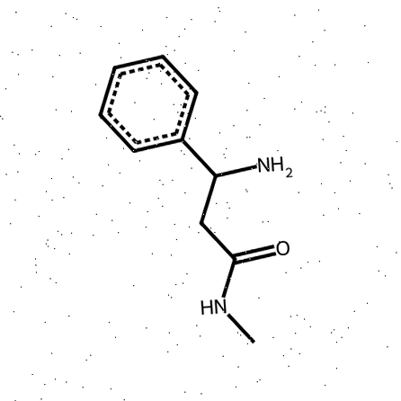 CNC(=O)CC(N)c1ccccc1